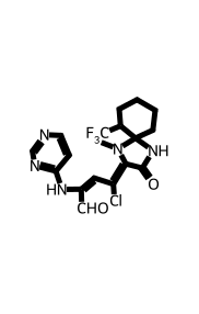 CN1/C(=C(Cl)\C=C(/C=O)Nc2ccncn2)C(=O)NC12CCCCC2C(F)(F)F